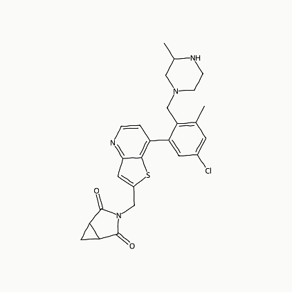 Cc1cc(Cl)cc(-c2ccnc3cc(CN4C(=O)C5CC5C4=O)sc23)c1CN1CCNC(C)C1